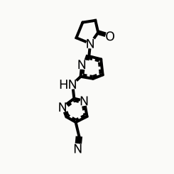 N#Cc1cnc(Nc2cccc(N3CCCC3=O)n2)nc1